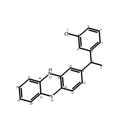 CC(c1cccc(Cl)c1)c1ccc2c(c1)Nc1ccccc1S2